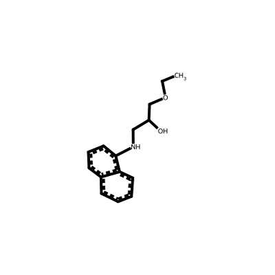 CCOCC(O)CNc1cccc2ccccc12